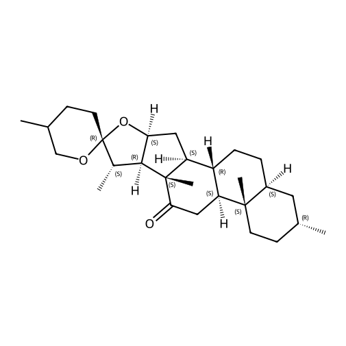 CC1CC[C@@]2(OC1)O[C@H]1C[C@H]3[C@@H]4CC[C@H]5C[C@H](C)CC[C@]5(C)[C@H]4CC(=O)[C@]3(C)[C@H]1[C@@H]2C